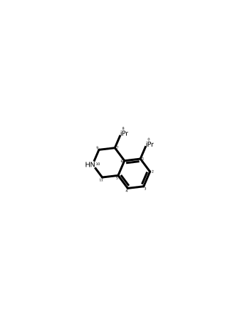 CC(C)c1cccc2c1C(C(C)C)CNC2